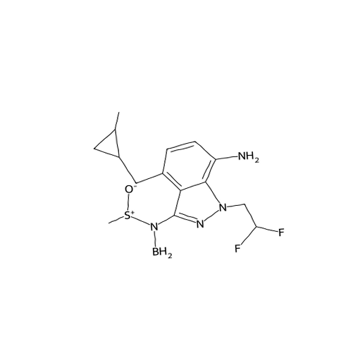 BN(c1nn(CC(F)F)c2c(N)ccc(CC3CC3C)c12)[S+](C)[O-]